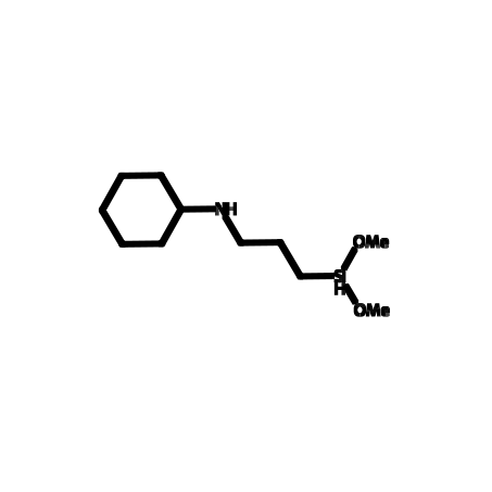 CO[SiH](CCCNC1CCCCC1)OC